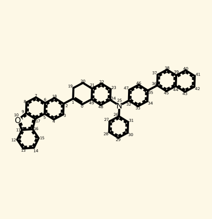 C1=C(c2ccc3c(ccc4oc5ccccc5c43)c2)CCc2ccc(N(c3ccccc3)c3ccc(-c4ccc5ccccc5c4)cc3)cc21